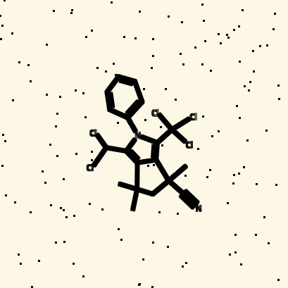 CC1(C)CC(C)(C#N)c2c1c(C(Cl)Cl)n(-c1ccccc1)c2C(Cl)(Cl)Cl